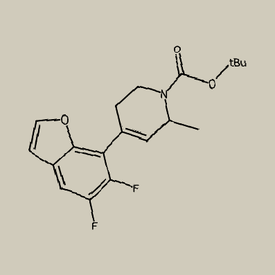 CC1C=C(c2c(F)c(F)cc3ccoc23)CCN1C(=O)OC(C)(C)C